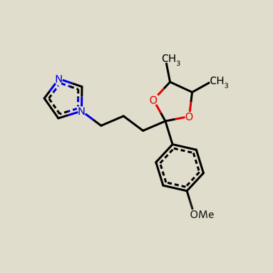 COc1ccc(C2(CCCn3ccnc3)OC(C)C(C)O2)cc1